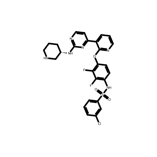 O=S(=O)(Nc1ccc(Oc2ncccc2-c2ccnc(N[C@H]3CCCNC3)n2)c(F)c1F)c1cccc(Cl)c1